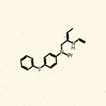 C=CN/C(=C\C)CN(c1ccc(Sc2ccccc2)cc1)C(C)C